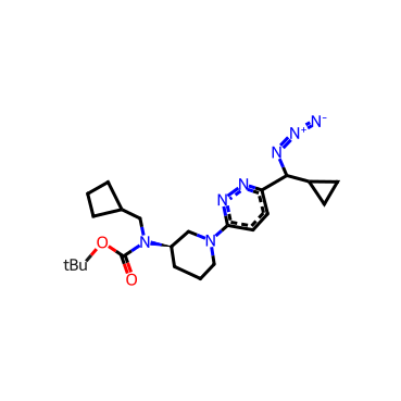 CC(C)(C)OC(=O)N(CC1CCC1)[C@@H]1CCCN(c2ccc(C(N=[N+]=[N-])C3CC3)nn2)C1